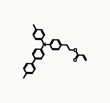 C=CC(=O)OCCc1ccc(N(c2ccc(C)cc2)c2ccc(-c3ccc(C)cc3)cc2)cc1